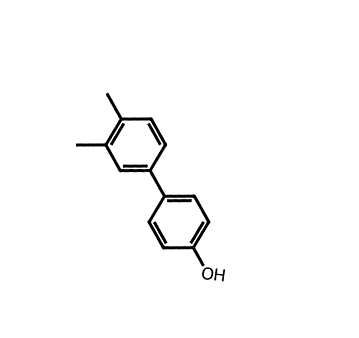 Cc1ccc(-c2ccc(O)cc2)cc1C